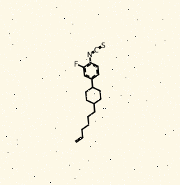 C=CCCCCC1CCC(c2ccc(N=C=S)c(F)c2)CC1